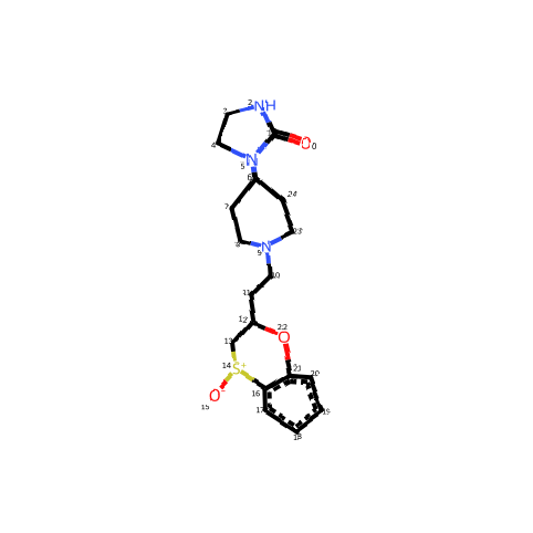 O=C1NCCN1C1CCN(CCC2C[S+]([O-])c3ccccc3O2)CC1